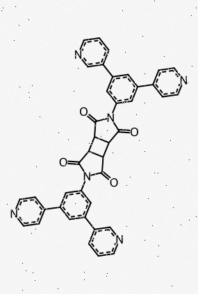 O=C1C2C(C(=O)N1c1cc(-c3ccncc3)cc(-c3cccnc3)c1)C1C(=O)N(c3cc(-c4ccncc4)cc(-c4cccnc4)c3)C(=O)C21